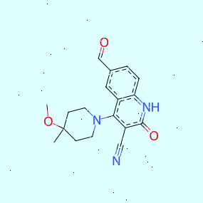 COC1(C)CCN(c2c(C#N)c(=O)[nH]c3ccc(C=O)cc23)CC1